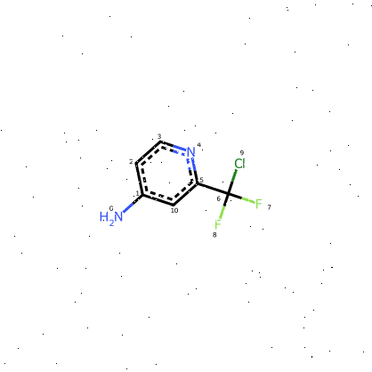 Nc1ccnc(C(F)(F)Cl)c1